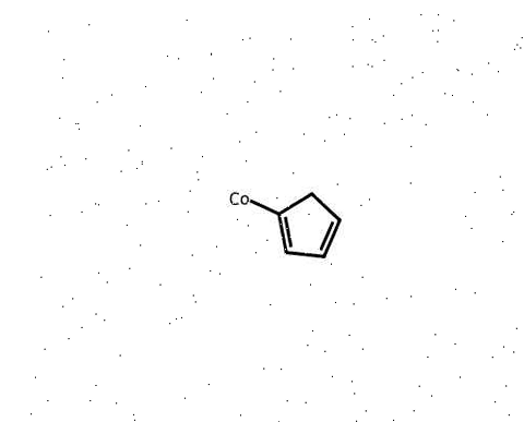 [Co][C]1=CC=CC1